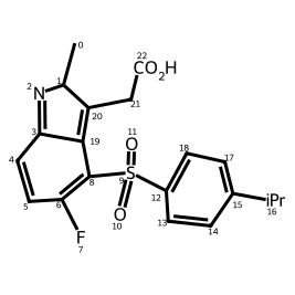 CC1N=c2ccc(F)c(S(=O)(=O)c3ccc(C(C)C)cc3)c2=C1CC(=O)O